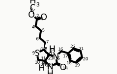 COC(=O)CCCC[C@@H]1SC[C@@H]2NC(=O)N(Cc3ccccc3)[C@@H]21